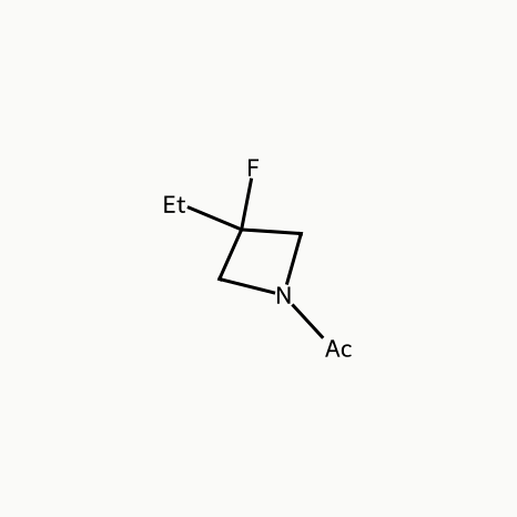 CCC1(F)CN(C(C)=O)C1